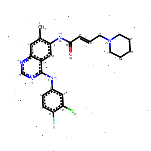 Cc1cc2ncnc(Nc3ccc(F)c(Cl)c3)c2cc1NC(=O)/C=C/CN1CCCCC1